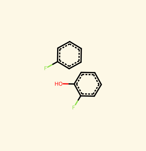 Fc1ccccc1.Oc1ccccc1F